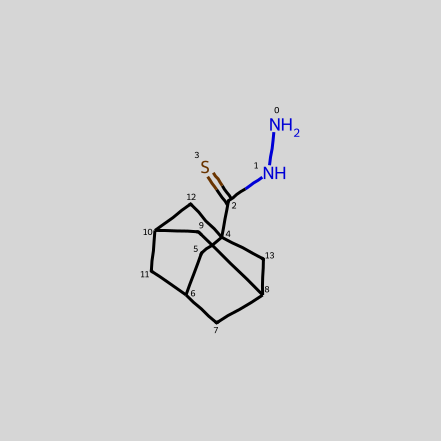 NNC(=S)C12CC3CC(CC(C3)C1)C2